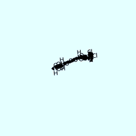 CCNC(=O)C(O)C(O)C(=O)NCCOCCOCCOCCNS(=O)(=O)c1ccc([C@@H]2CN(C)Cc3c(Cl)cc(Cl)cc32)cc1